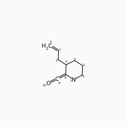 C=CCC1CCC[N]C1=C=O